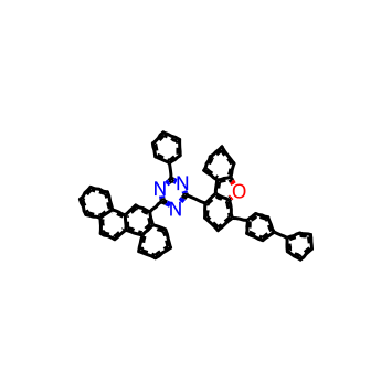 c1ccc(-c2ccc(-c3ccc(-c4nc(-c5ccccc5)nc(-c5cc6c7ccccc7ccc6c6ccccc56)n4)c4c3oc3ccccc34)cc2)cc1